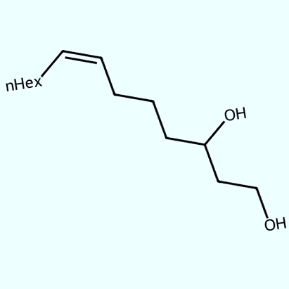 CCCCCC/C=C\CCCC(O)CCO